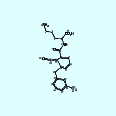 NCCCC(NC(=O)C1=CC=CN(Cc2cccc(C(F)(F)F)c2)C1=C=O)C(=O)O